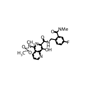 CNC(=O)c1cc(F)ccc1CNC(=O)c1nc(N(C)S(C)(=O)=O)c2cccnc2c1O